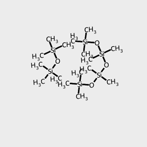 C[Si](C)(C)O[Si](C)(C)C.C[Si](C)(C)O[Si](C)(C)O[Si](C)(C)O[Si](C)(C)C